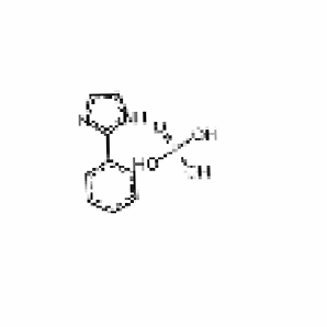 O=P(O)(O)O.c1ccc(-c2ncc[nH]2)cc1